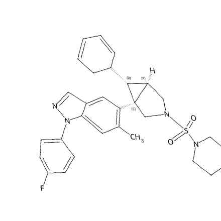 Cc1cc2c(cnn2-c2ccc(F)cc2)cc1[C@@]12CN(S(=O)(=O)N3CCCCC3)C[C@@H]1[C@H]2C1C=CC=CC1